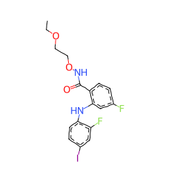 CCOCCONC(=O)c1ccc(F)cc1Nc1ccc(I)cc1F